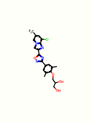 Cc1cc(-c2noc(-c3cn4cc(C(F)(F)F)cc(Cl)c4n3)n2)cc(C)c1OCC(O)CO